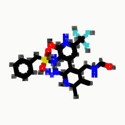 C=C1C(CNC=O)=C(c2cc(C(F)(F)F)[nH]c(=O)c2NS(=O)(=O)Cc2ccccc2)C(N)=NC1C